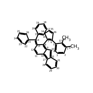 Cc1cccc(C2=C(c3c4c(ccc3=C(c3ccccc3)c3ccccc3)=c3ccccc3=[C]4)CC=C2)c1C